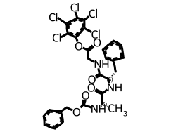 C[C@H](NC(=O)OCc1ccccc1)C(=O)N[C@@H](Cc1ccccc1)C(=O)NCC(=O)Oc1c(Cl)c(Cl)c(Cl)c(Cl)c1Cl